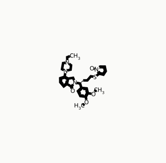 CCN1CCN(c2cccc3c2CN([C@H](CCCSc2cccc[n+]2[O-])c2ccc(OC)c(OC)c2)C3=O)CC1